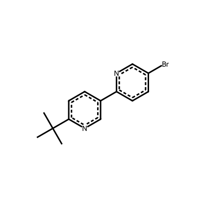 CC(C)(C)c1ccc(-c2ccc(Br)cn2)cn1